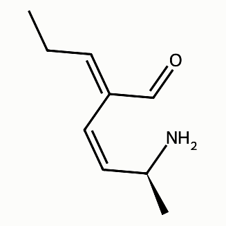 CC/C=C(C=O)\C=C/[C@H](C)N